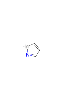 C1=[CH][In][N]=C1